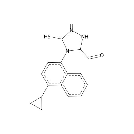 O=CC1NNC(S)N1c1ccc(C2CC2)c2ccccc12